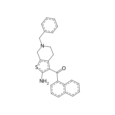 Nc1sc2c(c1C(=O)c1cccc3ccccc13)CCN(Cc1ccccc1)C2